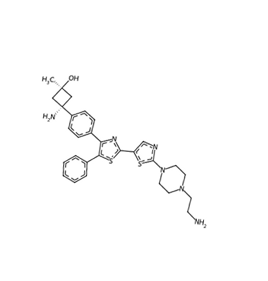 C[C@]1(O)C[C@@](N)(c2ccc(-c3nc(-c4cnc(N5CCN(CCN)CC5)s4)sc3-c3ccccc3)cc2)C1